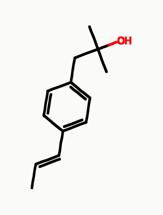 CC=Cc1ccc(CC(C)(C)O)cc1